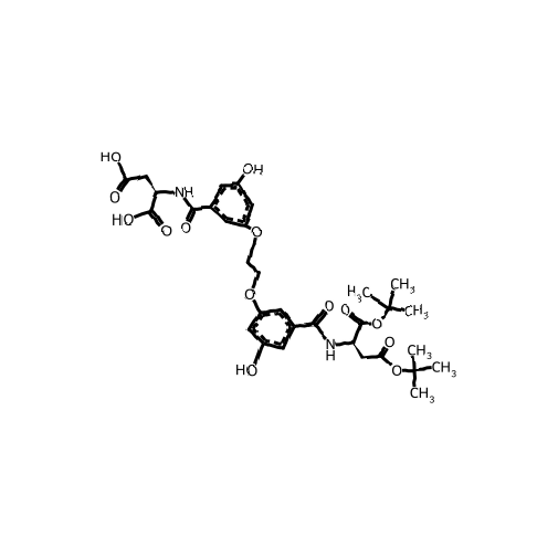 CC(C)(C)OC(=O)C[C@@H](NC(=O)c1cc(O)cc(OCCOc2cc(O)cc(C(=O)N[C@H](CC(=O)O)C(=O)O)c2)c1)C(=O)OC(C)(C)C